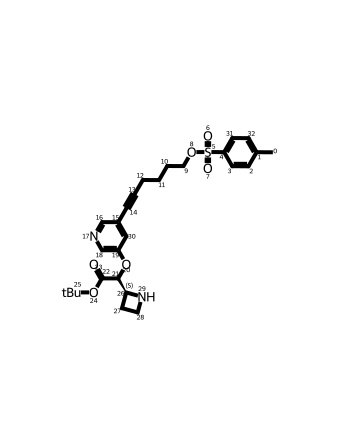 Cc1ccc(S(=O)(=O)OCCCCC#Cc2cncc(OC(C(=O)OC(C)(C)C)[C@@H]3CCN3)c2)cc1